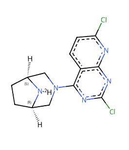 [2H]N1[C@@H]2CC[C@H]1CN(c1nc(Cl)nc3nc(Cl)ccc13)C2